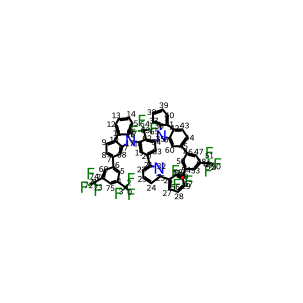 FC(F)(F)c1cc(-c2ccc3c4ccccc4n(-c4cc(-c5cccc(-c6ccccc6)n5)cc(-n5c6ccccc6c6ccc(-c7cc(C(F)(F)F)cc(C(F)(F)F)c7)cc65)c4C(F)(F)F)c3c2)cc(C(F)(F)F)c1